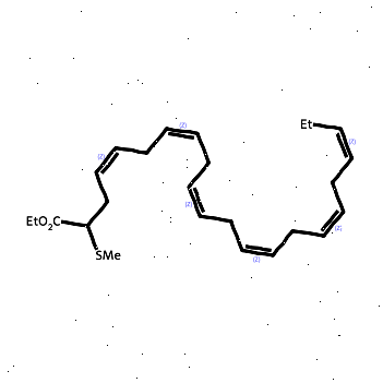 CC/C=C\C/C=C\C/C=C\C/C=C\C/C=C\C/C=C\CC(SC)C(=O)OCC